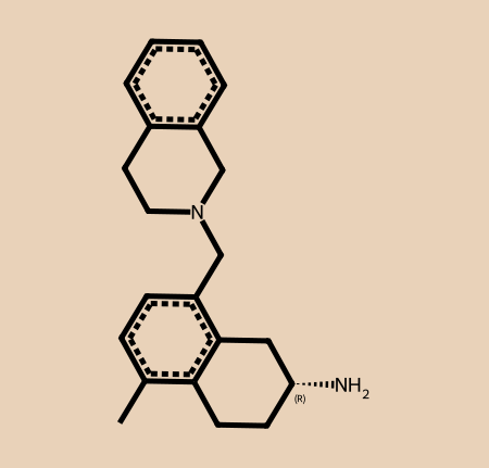 Cc1ccc(CN2CCc3ccccc3C2)c2c1CC[C@@H](N)C2